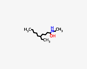 CCCCCC(CC)CCCC(O)NCC